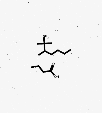 CCCC(=O)O.CCCCC(C)C(C)(C)N